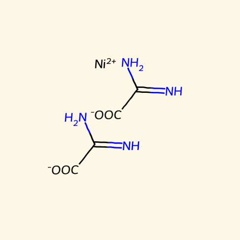 N=C(N)C(=O)[O-].N=C(N)C(=O)[O-].[Ni+2]